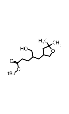 CC(C)(C)OC(=O)CCC(CO)CC1COC(C)(C)C1